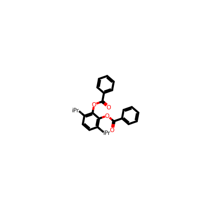 CC(C)c1ccc(C(C)C)c(OC(=O)c2ccccc2)c1OC(=O)c1ccccc1